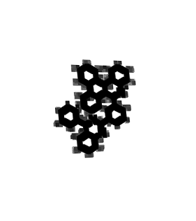 c1ccc(-c2nc(-c3cccc(-c4nc5ccccc5c5c6ccccc6c6ccccc6c45)c3)nc3ccccc23)cc1